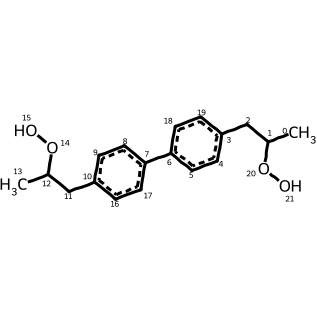 CC(Cc1ccc(-c2ccc(CC(C)OO)cc2)cc1)OO